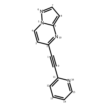 C(#Cc1ccn2nccc2n1)c1ccccn1